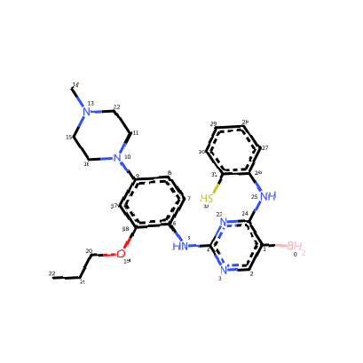 Bc1cnc(Nc2ccc(N3CCN(C)CC3)cc2OCCC)nc1Nc1ccccc1S